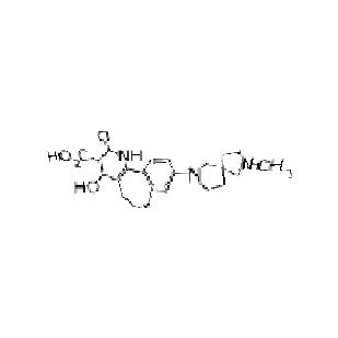 CN1CCC2(CCN(c3ccc4c(c3)CCCc3c-4[nH]c(=O)c(C(=O)O)c3O)C2)C1